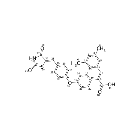 Cc1cc(C)cc(/C=C(/C(=O)O)c2ccc(Oc3ccc(/C=C4\SC(=O)NC4=O)cc3)cc2)c1